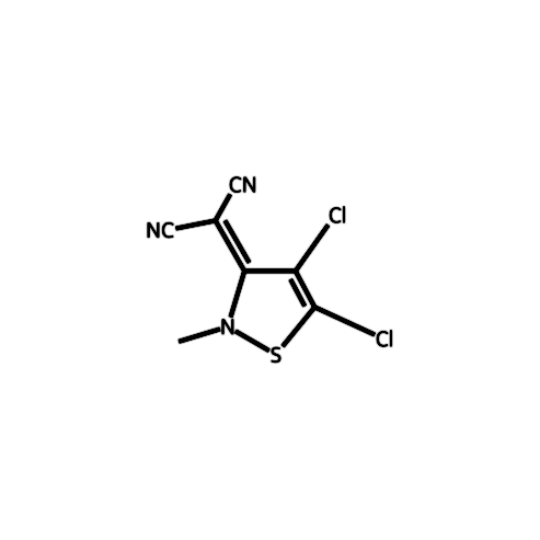 CN1SC(Cl)=C(Cl)C1=C(C#N)C#N